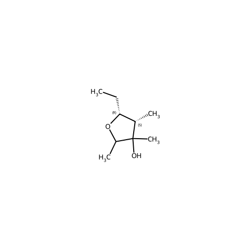 CC[C@H]1OC(C)C(C)(O)[C@H]1C